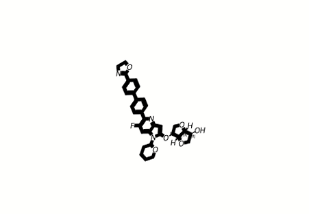 O[C@@H]1CO[C@H]2[C@@H]1OC[C@H]2Oc1cc2nc(-c3ccc(-c4ccc(C5=NCCO5)cc4)cc3)c(F)cc2n1C1CCCCO1